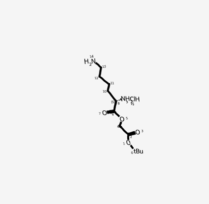 CC(C)(C)OC(=O)COC(=O)[C@@H](N)CCCCN.Cl